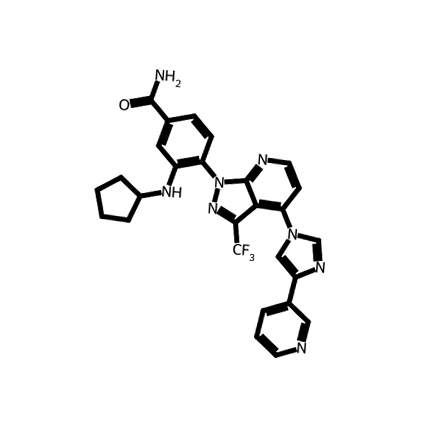 NC(=O)c1ccc(-n2nc(C(F)(F)F)c3c(-n4cnc(-c5cccnc5)c4)ccnc32)c(NC2CCCC2)c1